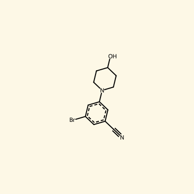 N#Cc1cc(Br)cc(N2CCC(O)CC2)c1